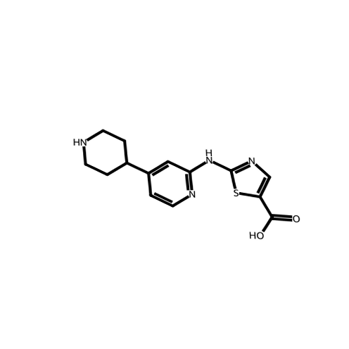 O=C(O)c1cnc(Nc2cc(C3CCNCC3)ccn2)s1